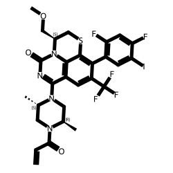 C=CC(=O)N1C[C@H](C)N(c2nc(=O)n3c4c(c(-c5cc(I)c(F)cc5F)c(C(F)(F)F)cc24)SC[C@@H]3COC)C[C@H]1C